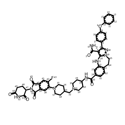 NC(=O)c1c(-c2ccc(Oc3ccccc3)cc2)nn2c1Nc1cc(C(=O)NC3CCN(CC4CCN(c5cc6c(cc5F)C(=O)N(C5CCC(=O)NC5=O)C6=O)CC4)CC3)ccc1CC2